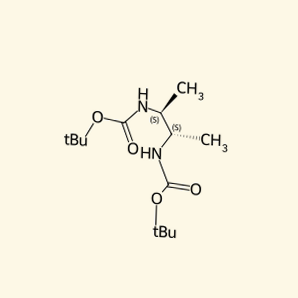 C[C@H](NC(=O)OC(C)(C)C)[C@H](C)NC(=O)OC(C)(C)C